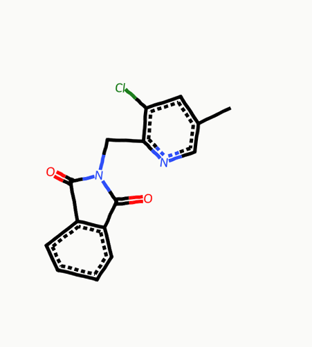 Cc1cnc(CN2C(=O)c3ccccc3C2=O)c(Cl)c1